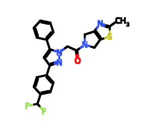 Cc1nc2c(s1)CN(C(=O)Cn1nc(-c3ccc(C(F)F)cc3)cc1-c1ccccc1)C2